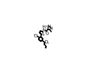 C=C/C=C(\OC)c1ccc(Cl)c(-c2ccc(NC(=O)c3snnc3C)s2)c1